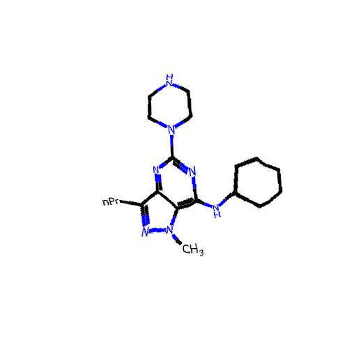 CCCc1nn(C)c2c(NC3CCCCC3)nc(N3CCNCC3)nc12